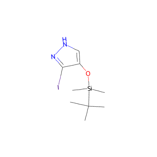 CC(C)(C)[Si](C)(C)Oc1c[nH]nc1I